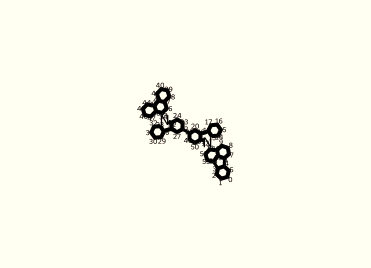 c1ccc2c(c1)-c1cccc3c(-n4c5ccccc5c5cc(-c6ccc7c(c6)c6ccccc6n7-c6cc7ccccc7c7ccccc67)ccc54)ccc-2c13